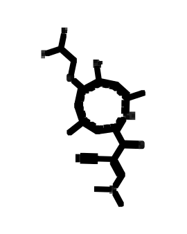 Cc1cc(C(=O)/C(C#N)=C/N(C)C)[nH]c(C)cc(Br)c(OCC(F)F)c1